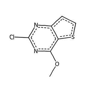 COc1nc(Cl)nc2ccsc12